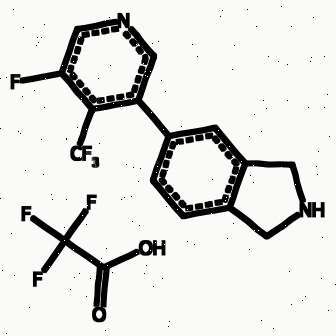 Fc1cncc(-c2ccc3c(c2)CNC3)c1C(F)(F)F.O=C(O)C(F)(F)F